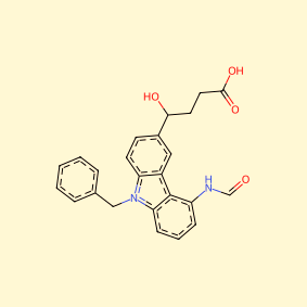 O=CNc1cccc2c1c1cc(C(O)CCC(=O)O)ccc1n2Cc1ccccc1